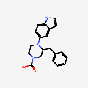 O=C(O)N1CCN(c2ccc3[nH]ccc3c2)C(Cc2ccccc2)C1